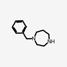 c1ccc(CN2CCCNCC2)cc1